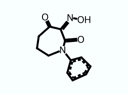 O=C1CCCN(c2ccccc2)C(=O)C1=NO